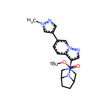 Cn1cc(-c2ccc3c(N4CC5CCC(C4)N5C(=O)OC(C)(C)C)cnn3c2)cn1